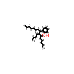 CCCCCCCC(c1ccccc1O)C(CCCC)CCCCCC